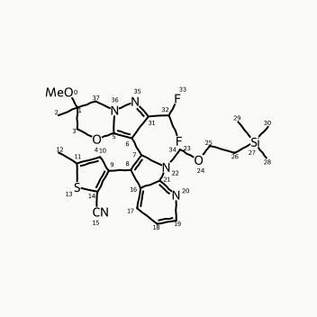 COC1(C)COc2c(-c3c(-c4cc(C)sc4C#N)c4cccnc4n3COCC[Si](C)(C)C)c(C(F)F)nn2C1